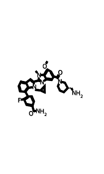 COc1cc(C(=O)N2CCC[C@@H](CN)C2)cc2nc(-c3cc4cccc(-c5ccc(C(N)=O)cc5F)c4n3CC3CC3)n(C)c12